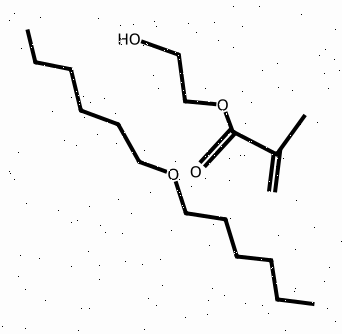 C=C(C)C(=O)OCCO.CCCCCCOCCCCCC